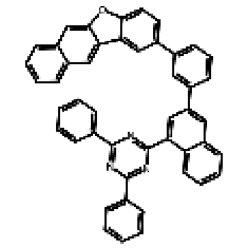 c1ccc(-c2nc(-c3ccccc3)nc(-c3cc(-c4cccc(-c5ccc6oc7cc8ccccc8cc7c6c5)c4)cc4ccccc34)n2)cc1